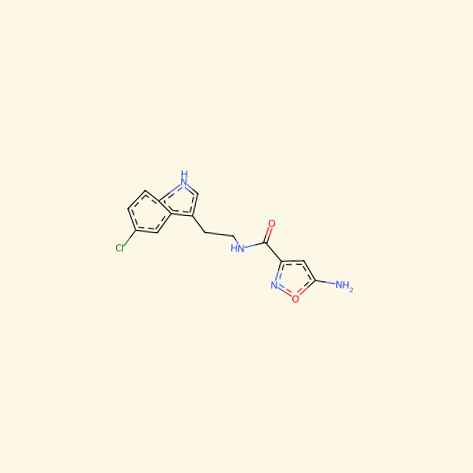 Nc1cc(C(=O)NCCc2c[nH]c3ccc(Cl)cc23)no1